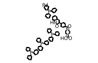 O=C(O)N1CCN(C(=O)c2ccc(-c3cc4ccccc4[nH]c3=O)cc2)CC1.[Pd].c1ccc(P(c2ccccc2)c2ccccc2)cc1.c1ccc(P(c2ccccc2)c2ccccc2)cc1.c1ccc(P(c2ccccc2)c2ccccc2)cc1.c1ccc(P(c2ccccc2)c2ccccc2)cc1